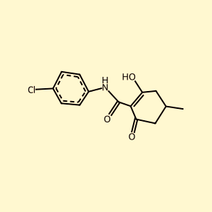 CC1CC(=O)C(C(=O)Nc2ccc(Cl)cc2)=C(O)C1